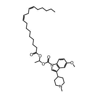 CCCCC/C=C\C/C=C\CCCCCCCC(=O)OC(C)OC(=O)n1cc(C2CCN(C)CC2)c2cc(OC)ccc21